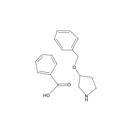 O=C(O)c1ccccc1.c1ccc(COC2CCNC2)cc1